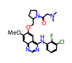 COc1cc2ncnc(Nc3cccc(Cl)c3F)c2cc1OCC1CCCN1C(=O)CN(C)C